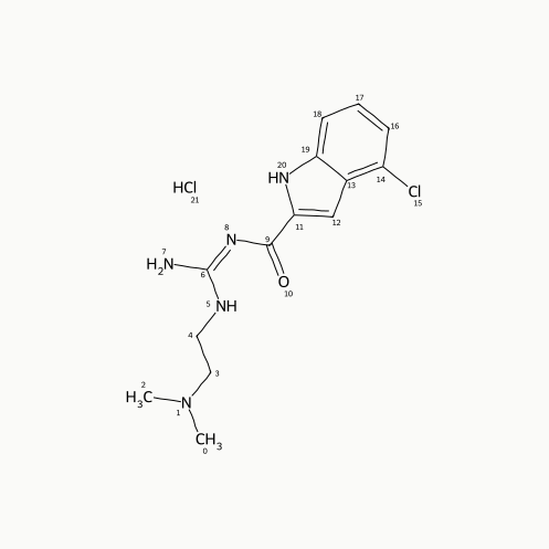 CN(C)CCNC(N)=NC(=O)c1cc2c(Cl)cccc2[nH]1.Cl